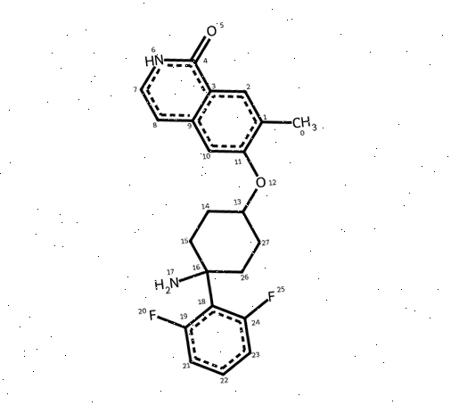 Cc1cc2c(=O)[nH]ccc2cc1OC1CCC(N)(c2c(F)cccc2F)CC1